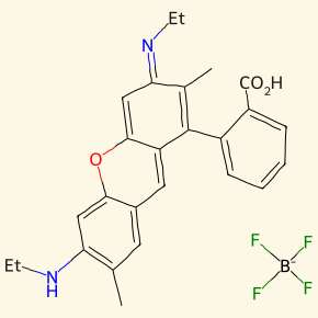 CCN=c1cc2oc3cc(NCC)c(C)cc3cc-2c(-c2ccccc2C(=O)O)c1C.F[B-](F)(F)F